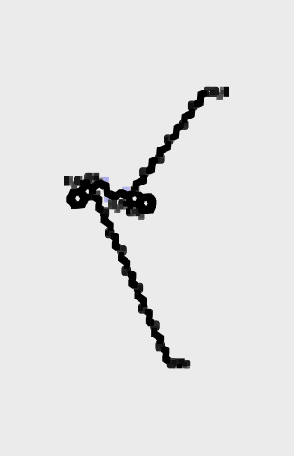 COCCOCCOCCOCCOCCOCCOCCOCCOCC[N+]1=C(\C=C/C=C\C=C2\N(CCOCCOCCOCCOCCOCCC(=O)O)c3ccccc3C2(C)C)C(C)(C)c2ccccc21